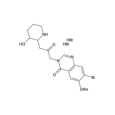 Br.Br.CSc1cc2c(=O)n(CC(=O)CC3NCCCC3O)cnc2cc1Br